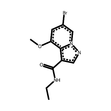 CCNC(=O)c1cnn2cc(Br)cc(OC)c12